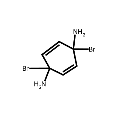 NC1(Br)C=CC(N)(Br)C=C1